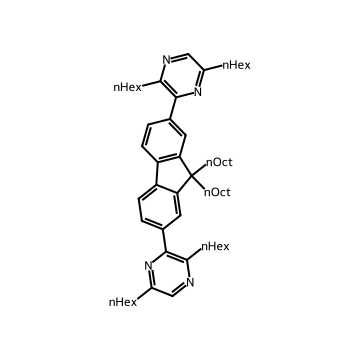 CCCCCCCCC1(CCCCCCCC)c2cc(-c3nc(CCCCCC)cnc3CCCCCC)ccc2-c2ccc(-c3nc(CCCCCC)cnc3CCCCCC)cc21